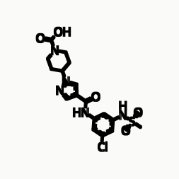 CS(=O)(=O)Nc1cc(Cl)cc(NC(=O)c2cnn(C3CCN(C(=O)O)CC3)c2)c1